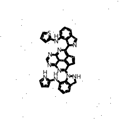 C1=CC2=C(C3N=Cc4cccc(Nc5cccs5)c43)N=C3N=CN=C4N=C(N5NCc6cccc(Nc7ccc[nH]7)c65)C1=C2C43